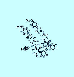 COc1ccc(C2CC(CN3CCC(N4CCC(=O)N(c5ccccc5)C4=O)CC3)CO2)cc1.COc1ccc(C2CC(CN3CCC(N4CCC(=O)N(c5ccccc5)C4=O)CC3)CO2)cc1.Cl.Cl.O